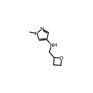 Cn1cc(NCC2CCO2)cn1